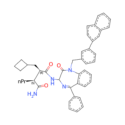 CCC[C@H](C(N)=O)[C@@H](CC1CCC1)C(=O)NC1N=C(c2ccccc2)c2ccccc2N(Cc2cccc(-c3ccc4ccccc4c3)c2)C1=O